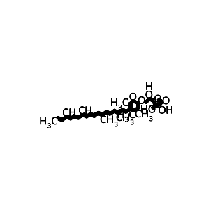 C/C=C/C(C)=C/C=C/C(C)=C/C=C/C=C(C)/C=C/C=C(C)/C=C/C1=C(C)C(=O)C(OCC(O)C2OC(=O)C(O)=C2O)CC1(C)C